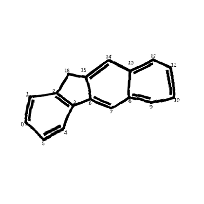 [c]1[c]c2c(cc1)-c1cc3ccccc3cc1C2